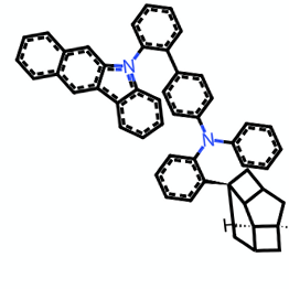 c1ccc(N(c2ccc(-c3ccccc3-n3c4ccccc4c4cc5ccccc5cc43)cc2)c2ccccc2[C@]23CC4C[C@H]5CC(C2)[C@H]5C43)cc1